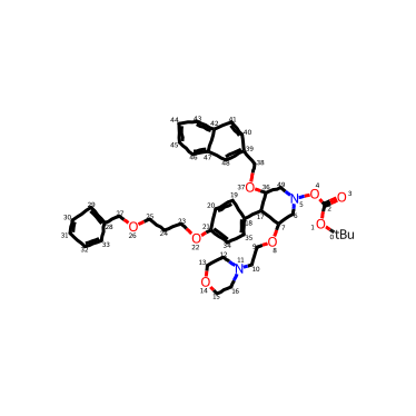 CC(C)(C)OC(=O)ON1CC(OCCN2CCOCC2)C(c2ccc(OCCCOCc3ccccc3)cc2)C(OCc2ccc3ccccc3c2)C1